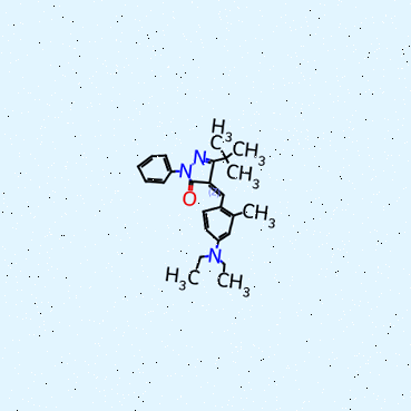 CCN(CC)c1ccc(/C=C2\C(=O)N(c3ccccc3)N=C2C(C)(C)C)c(C)c1